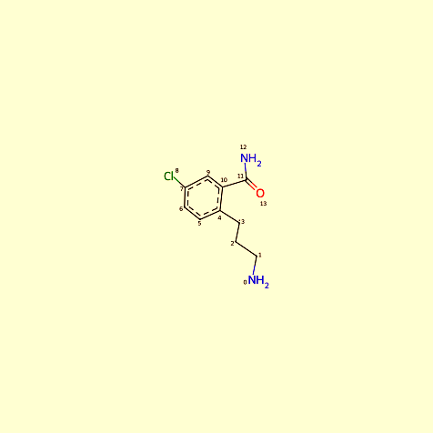 NCC[CH]c1ccc(Cl)cc1C(N)=O